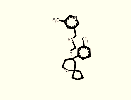 FC(F)(F)c1cncc(CNCC[C@@]2(c3cccc(C(F)(F)F)c3)CCOC3(CCCC3)C2)c1